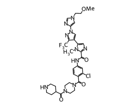 COCCn1cnc(-n2cc(-c3cnc(C(=O)Nc4ccc(C(=O)N5CCN(C(=O)C6CCNCC6)CC5)c(Cl)c4)n3C)c(C(F)(F)F)n2)c1